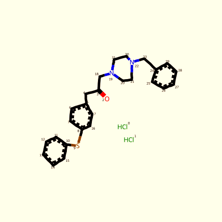 Cl.Cl.O=C(Cc1ccc(Sc2ccccc2)cc1)CN1CCN(Cc2ccccc2)CC1